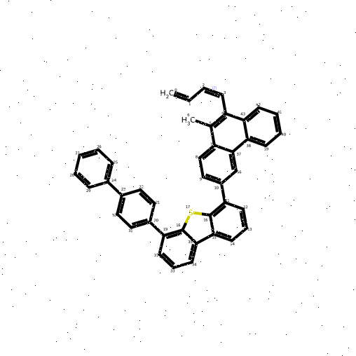 C=C/C=C\c1c(C)c2ccc(-c3cccc4c3sc3c(-c5ccc(-c6ccccc6)cc5)cccc34)cc2c2ccccc12